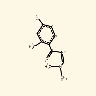 Cc1cc(Cl)ccc1C(=O)/N=C\N(C)C